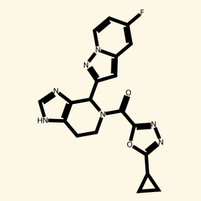 O=C(c1nnc(C2CC2)o1)N1CCc2[nH]cnc2C1c1cc2cc(F)ccn2n1